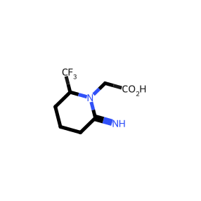 N=C1CCCC(C(F)(F)F)N1CC(=O)O